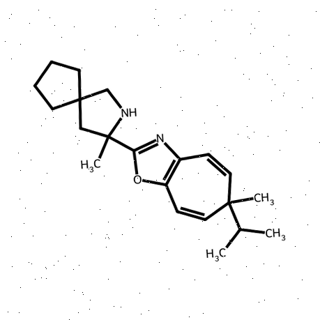 CC(C)C1(C)C=Cc2nc(C3(C)CC4(CCCC4)CN3)oc2C=C1